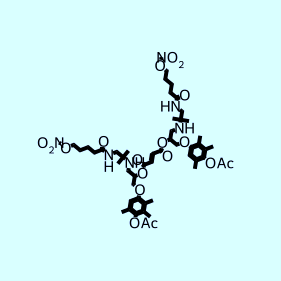 CC(=O)Oc1c(C)cc(OCC(CNC(C)(C)CNC(=O)CCCCO[N+](=O)[O-])OC(=O)/C=C/C(=O)OC(CNC(C)(C)CNC(=O)CCCCO[N+](=O)[O-])COc2cc(C)c(OC(C)=O)c(C)c2C)c(C)c1C